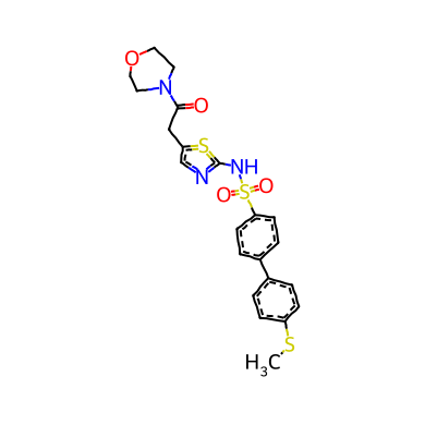 CSc1ccc(-c2ccc(S(=O)(=O)Nc3ncc(CC(=O)N4CCOCC4)s3)cc2)cc1